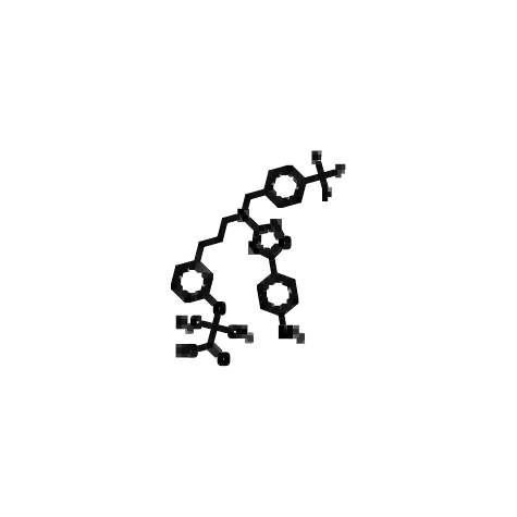 CC(C)(Oc1cccc(CCCN(Cc2ccc(C(F)(F)F)cc2)c2noc(-c3ccc(N)cc3)n2)c1)C(=O)O